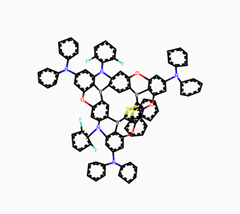 Fc1cccc(F)c1N1c2cc3c(cc2B2c4cc5c(cc4Oc4cc(N(c6ccccc6)c6ccccc6)cc1c42)N(c1c(F)cccc1F)c1cc(N(c2ccccc2)c2ccccc2)cc2c1B5c1sc4ccccc4c1O2)B1c2sc4ccccc4c2Oc2cc(N(c4ccccc4)c4ccccc4)cc(c21)O3